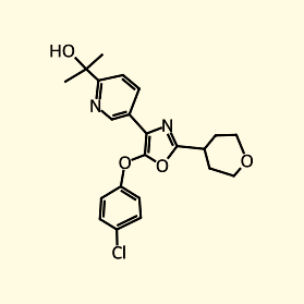 CC(C)(O)c1ccc(-c2nc(C3CCOCC3)oc2Oc2ccc(Cl)cc2)cn1